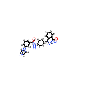 O=C(N[C@H]1CC[C@H](c2n[nH]c(=O)c3ccccc32)CC1)c1cccc(-n2ccnc2)c1